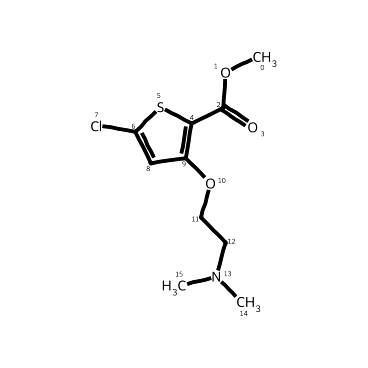 COC(=O)c1sc(Cl)cc1OCCN(C)C